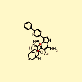 CC(=O)c1c([C@@H]2C[C@H]3CSC[C@@H](C2)N3C(=O)c2nnc[nH]2)nc2c(-c3ccc(-c4ccccc4)nc3)cnn2c1N